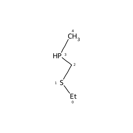 CCSCPC